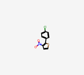 O=[N+]([O-])c1ccsc1-c1ccc(Cl)cc1